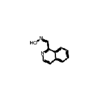 O/N=C\c1nccc2ccccc12